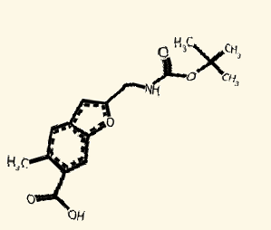 Cc1cc2cc(CNC(=O)OC(C)(C)C)oc2cc1C(=O)O